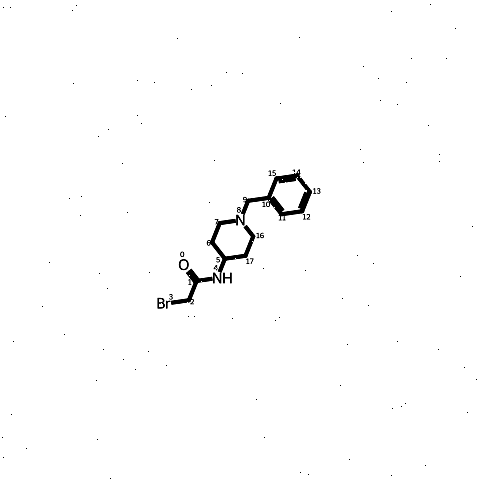 O=C(CBr)NC1CCN(Cc2ccccc2)CC1